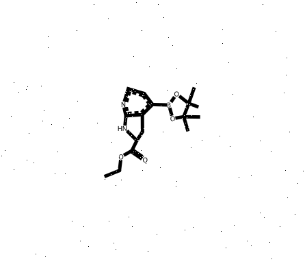 CCOC(=O)C1Cc2c(B3OC(C)(C)C(C)(C)O3)ccnc2N1